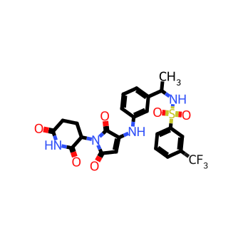 CC(NS(=O)(=O)c1cccc(C(F)(F)F)c1)c1cccc(NC2=CC(=O)N(C3CCC(=O)NC3=O)C2=O)c1